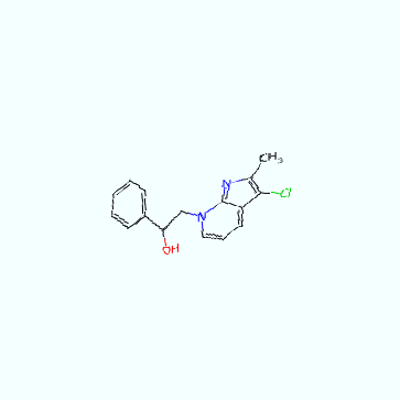 Cc1nc2n(CC(O)c3ccccc3)cccc-2c1Cl